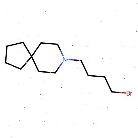 BrCCCCN1CCC2(CCCC2)CC1